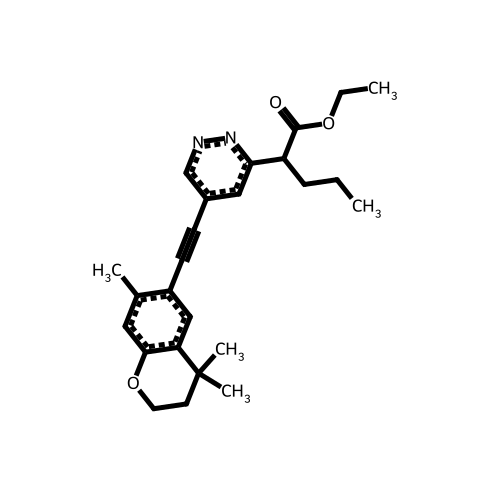 CCCC(C(=O)OCC)c1cc(C#Cc2cc3c(cc2C)OCCC3(C)C)cnn1